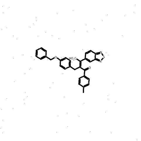 Cc1ccc(C(=O)C(Cc2ccc(OCc3ccccc3)cc2)=C(C(=O)O)c2ccc3nsnc3c2)cc1